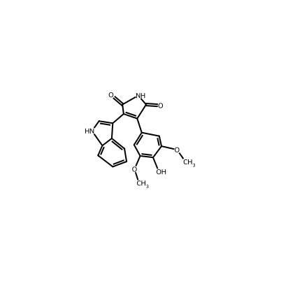 COc1cc(C2=C(c3c[nH]c4ccccc34)C(=O)NC2=O)cc(OC)c1O